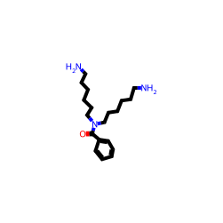 NCCCCCCN(CCCCCCN)C(=O)c1ccccc1